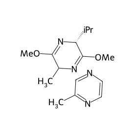 COC1=N[C@H](C(C)C)C(OC)=NC1C.Cc1cnccn1